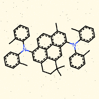 Cc1ccccc1N(c1ccccc1C)c1cc(C)c2ccc3c(N(c4ccccc4C)c4ccccc4C)cc4c5c(cc1c2c35)C(C)(C)CC4